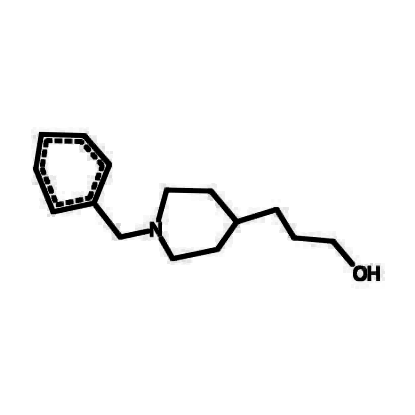 OCCCC1CCN(Cc2ccccc2)CC1